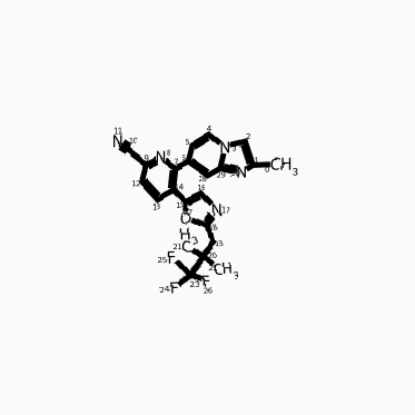 Cc1cn2ccc(-c3nc(C#N)ccc3-c3cnc(CC(C)(C)C(F)(F)F)o3)cc2n1